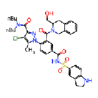 CCCCN(CCCC)C(=O)c1nn(-c2ccc(C(=O)NS(=O)(=O)c3ccc4c(c3)CCN4)cc2C(=O)N2Cc3ccccc3CC2CO)c(C)c1Cl